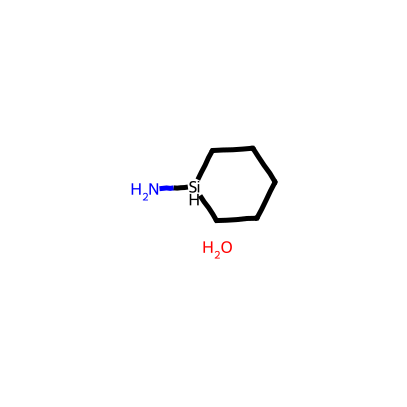 N[SiH]1CCCCC1.O